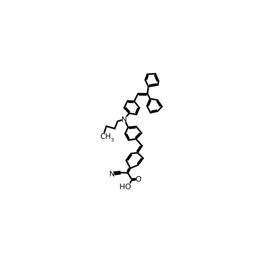 CCCCN(c1ccc(C=C(c2ccccc2)c2ccccc2)cc1)c1ccc(C=c2ccc(=C(C#N)C(=O)O)cc2)cc1